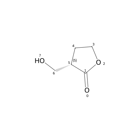 O=C1OCC[C@H]1CO